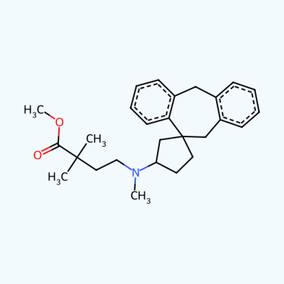 COC(=O)C(C)(C)CCN(C)C1CCC2(Cc3ccccc3Cc3ccccc32)C1